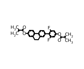 C=C(C)C(=O)Oc1cc(F)c(-c2ccc3c(c2)CCc2cc(OC(=O)C(=C)C)ccc2-3)c(F)c1